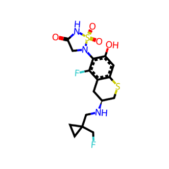 O=C1CN(c2c(O)cc3c(c2F)C[C@H](NCC2(CF)CC2)CS3)S(=O)(=O)N1